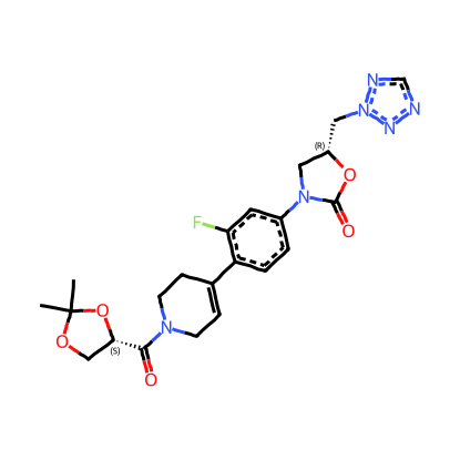 CC1(C)OC[C@@H](C(=O)N2CC=C(c3ccc(N4C[C@H](Cn5ncnn5)OC4=O)cc3F)CC2)O1